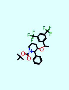 CC(OC1CCCN(C(=O)OC(C)(C)C)C1c1ccccc1)c1cc(C(F)(F)F)cc(C(F)(F)F)c1